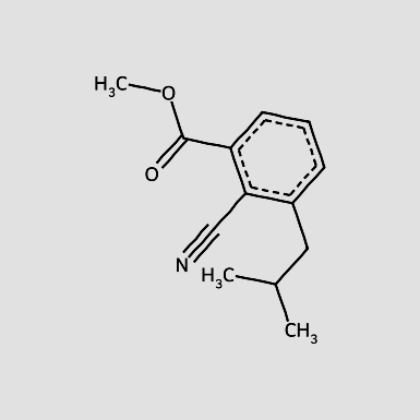 COC(=O)c1cccc(CC(C)C)c1C#N